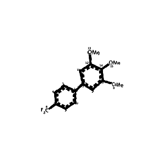 COc1cc(-c2ccc(C(F)(F)F)cc2)cc(OC)c1OC